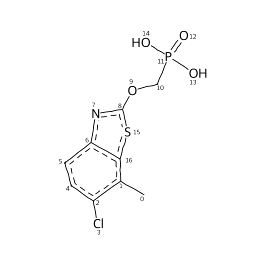 Cc1c(Cl)ccc2nc(OCP(=O)(O)O)sc12